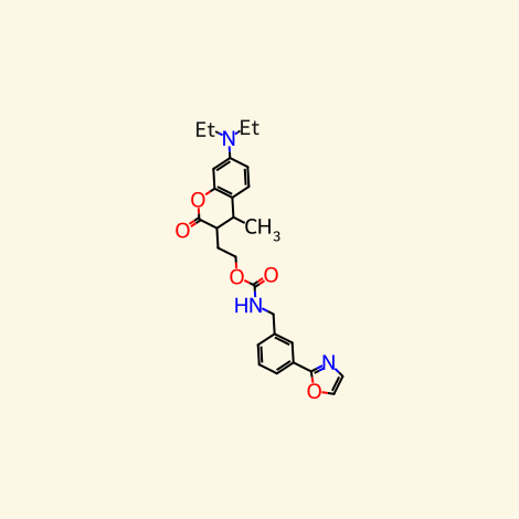 CCN(CC)c1ccc2c(c1)OC(=O)C(CCOC(=O)NCc1cccc(-c3ncco3)c1)C2C